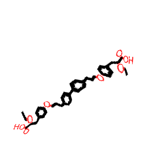 CCOC(Cc1ccc(OCC=Cc2ccc(-c3ccc(C=CCOc4ccc(CC(OCC)C(=O)O)cc4)cc3)cc2)cc1)C(=O)O